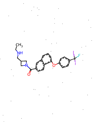 CCNCC1CN(C(=O)c2ccc3c(Oc4ccc(C(F)(I)I)cc4)cccc3c2)C1